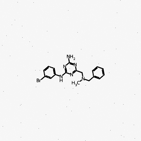 CN(Cc1ccccc1)Cc1nc(N)nc(Nc2cccc(Br)c2)n1